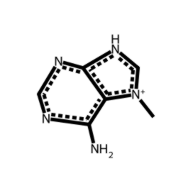 C[n+]1c[nH]c2ncnc(N)c21